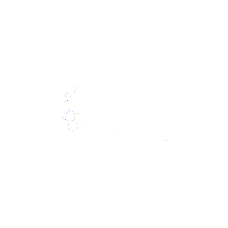 O=C1CCC(n2nnc3cccc(NCCOCCOCCOCCOCCO)c3c2=O)C(=O)N1